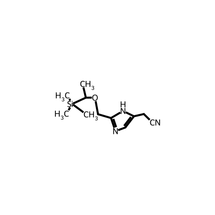 CC(OCc1ncc(CC#N)[nH]1)[Si](C)(C)C